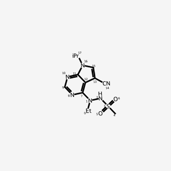 CCN(NS(C)(=O)=O)c1ncnc2c1c(C#N)cn2C(C)C